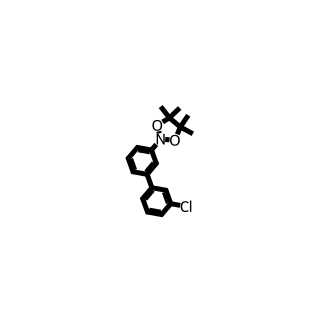 CC1(C)ON(c2cccc(-c3cccc(Cl)c3)c2)OC1(C)C